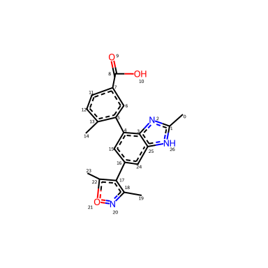 Cc1nc2c(-c3cc(C(=O)O)ccc3C)cc(-c3c(C)noc3C)cc2[nH]1